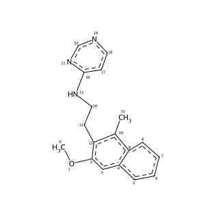 COc1cc2ccccc2c(C)c1CCNc1ccncn1